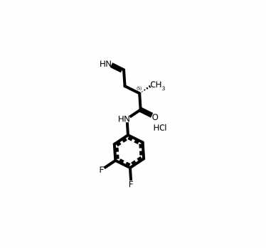 C[C@@H](CC=N)C(=O)Nc1ccc(F)c(F)c1.Cl